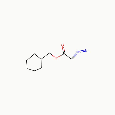 [N-]=[N+]=CC(=O)OCC1CCCCC1